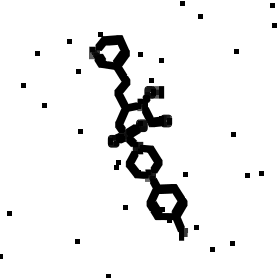 O=CN(O)C(CCc1cccnc1)CS(=O)(=O)N1CCN(c2ccc(F)cc2)CC1